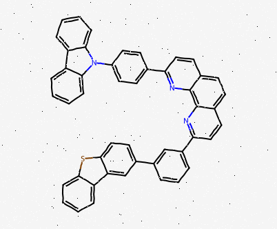 c1cc(-c2ccc3sc4ccccc4c3c2)cc(-c2ccc3ccc4ccc(-c5ccc(-n6c7ccccc7c7ccccc76)cc5)nc4c3n2)c1